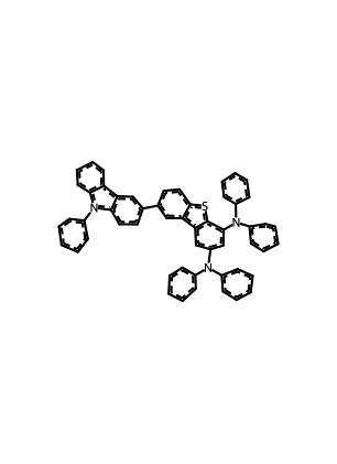 c1ccc(N(c2ccccc2)c2cc(N(c3ccccc3)c3ccccc3)c3sc4ccc(-c5ccc6c(c5)c5ccccc5n6-c5ccccc5)cc4c3c2)cc1